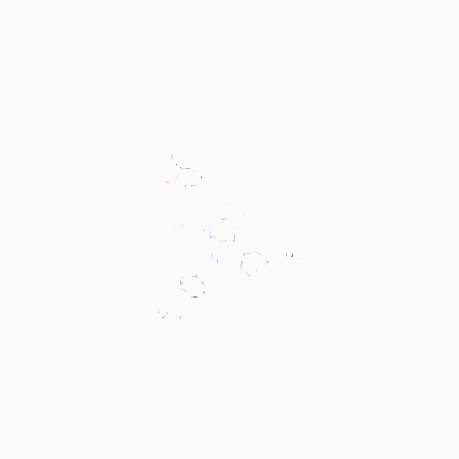 C=Cn1cnc2c(c1=O)CC(C)C(c1nc(N(Cc3ccc(OC)cc3)Cc3ccc(OC)cc3)ccc1C(F)(F)F)C2